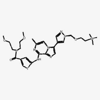 COCCN(CCOC)C(=O)c1csc(Nc2nc(C)cn3c(-c4cnn(COCC[Si](C)(C)C)c4)cnc23)c1